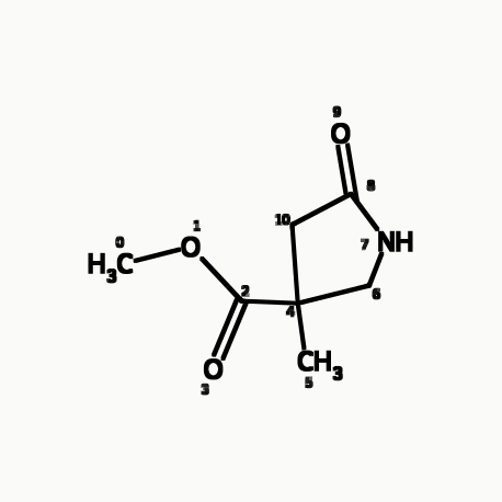 COC(=O)C1(C)CNC(=O)C1